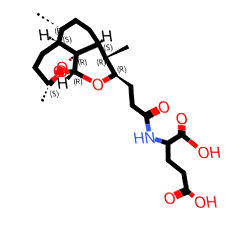 C[C@H]1[C@@H](CCC(=O)NC(CCC(=O)O)C(=O)O)O[C@@H]2O[C@]3(C)CC[C@H]4[C@H](C)CC[C@@H]1[C@@]24OO3